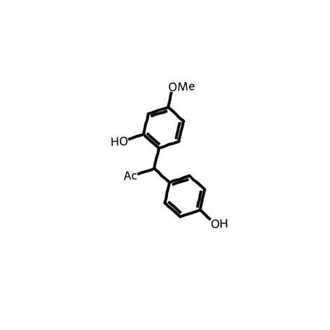 COc1ccc(C(C(C)=O)c2ccc(O)cc2)c(O)c1